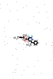 CC#CC(C)(C)OC(=O)C1=C(F)C(F)=NC([C@H](C)c2ccccc2)C1